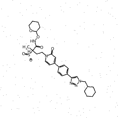 CC(CCn1ccc(-c2ccc(-c3cn(CC4CCCCC4)nn3)cc2)cc1=O)(C(=O)NOC1CCCCO1)[SH](=O)=O